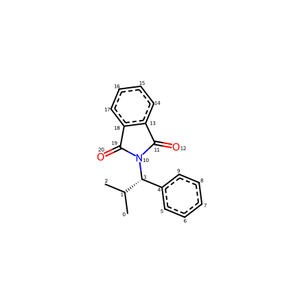 CC(C)[C@@H](c1ccccc1)N1C(=O)c2ccccc2C1=O